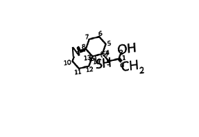 C=C(O)C[C@@H]1CCCC2=NCCC[C@@]21S